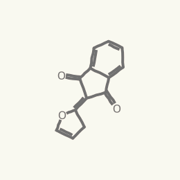 O=C1C(=C2CC=CO2)C(=O)c2ccccc21